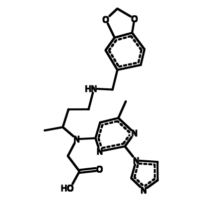 Cc1cc(N(CC(=O)O)C(C)CCNCc2ccc3c(c2)OCO3)nc(-n2ccnc2)n1